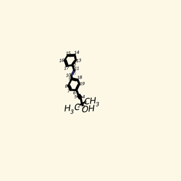 CC(C)(O)C#Cc1ccc(/C=C/c2ccccc2)cc1